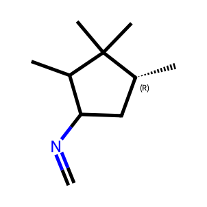 C=NC1C[C@@H](C)C(C)(C)C1C